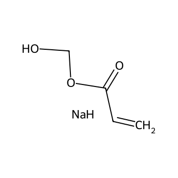 C=CC(=O)OCO.[NaH]